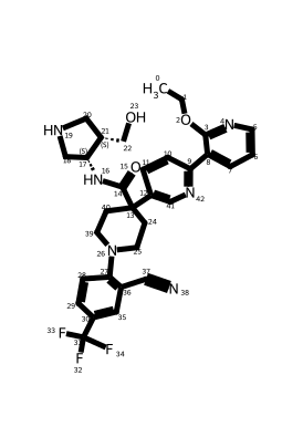 CCOc1ncccc1-c1ccc(C2(C(=O)N[C@@H]3CNC[C@@H]3CO)CCN(c3ccc(C(F)(F)F)cc3C#N)CC2)cn1